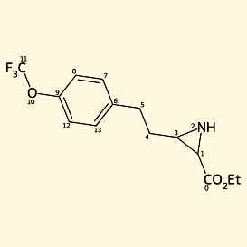 CCOC(=O)C1NC1CCc1ccc(OC(F)(F)F)cc1